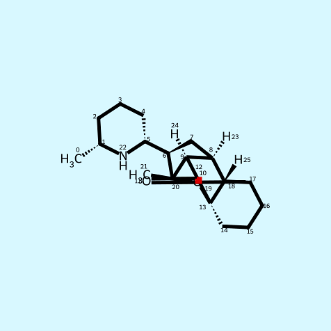 C[C@@H]1CCC[C@H]([C@H]2C[C@@H]3[C@H]4C(=O)C[C@]5(CCCC[C@@H]35)OC24C)N1